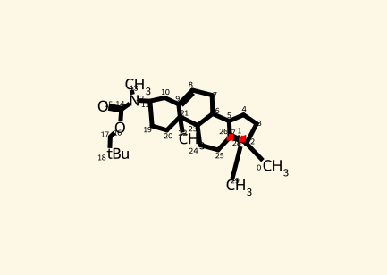 CC1C2CCC3C4CC=C5CC(N(C)C(=O)OCC(C)(C)C)CCC5(C)C4CCC32CN1C